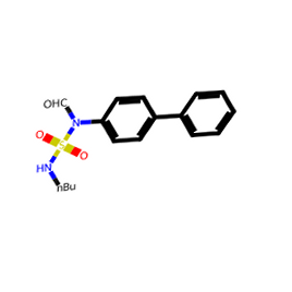 CCCCNS(=O)(=O)N(C=O)c1ccc(-c2ccccc2)cc1